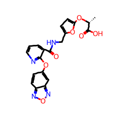 C[C@@H](Oc1ccc(CNC(=O)c2cccnc2Oc2ccc3nonc3c2)o1)C(=O)O